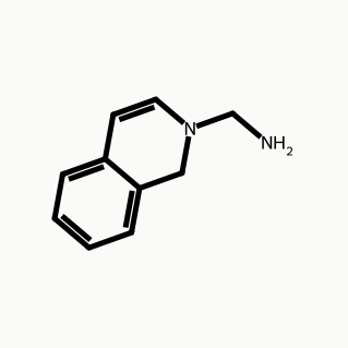 NCN1C=Cc2ccccc2C1